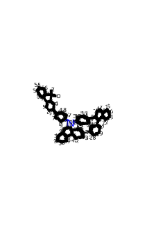 CC1(C)C2=CC(c3ccc(N(c4ccc(-c5ccc6ccccc6c5-c5ccccc5)cc4)c4cc5ccccc5c5ccccc45)cc3)CC=C2c2ccccc21